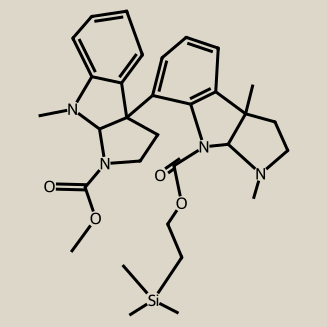 COC(=O)N1CCC2(c3cccc4c3N(C(=O)OCC[Si](C)(C)C)C3N(C)CCC43C)c3ccccc3N(C)C12